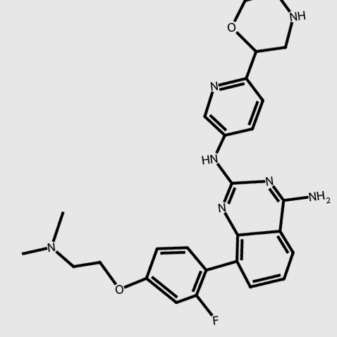 CN(C)CCOc1ccc(-c2cccc3c(N)nc(Nc4ccc(C5CNCCO5)nc4)nc23)c(F)c1